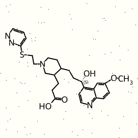 COc1ccc2nccc([C@@H](O)CCC3CCN(CCSc4cccnn4)CC3CCC(=O)O)c2c1